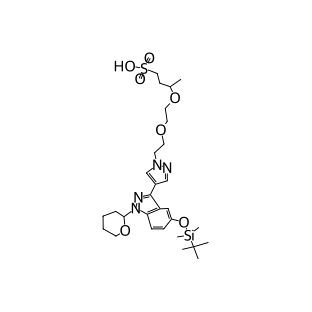 CC(CCS(=O)(=O)O)OCCOCCn1cc(-c2nn(C3CCCCO3)c3ccc(O[Si](C)(C)C(C)(C)C)cc23)cn1